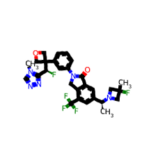 C[C@H](c1cc2c(c(C(F)(F)F)c1)CN(c1cccc(C3([C@@H](F)c4nncn4C)COC3)c1)C2=O)N1CC(C)(F)C1